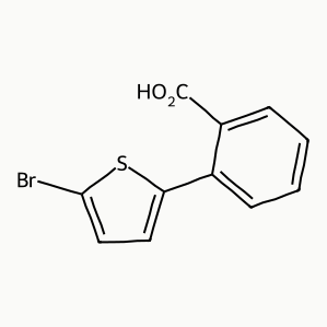 O=C(O)c1ccccc1-c1ccc(Br)s1